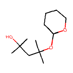 CC(C)(O)CC(C)(C)OC1CCCCO1